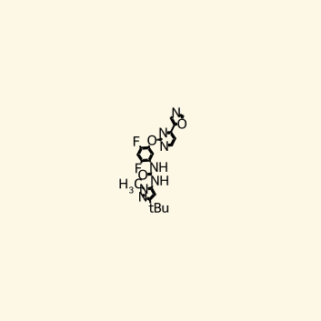 Cn1nc(C(C)(C)C)cc1NC(=O)Nc1cc(Oc2nccc(-c3cnco3)n2)c(F)cc1F